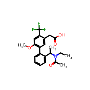 CCN(C(C)=O)C(C)c1ccccc1-c1cc(CC(=O)O)c(C(F)(F)F)cc1OC